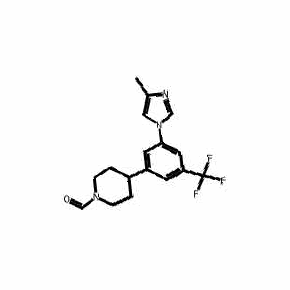 Cc1cn(-c2cc(C3CCN(C=O)CC3)cc(C(F)(F)F)c2)cn1